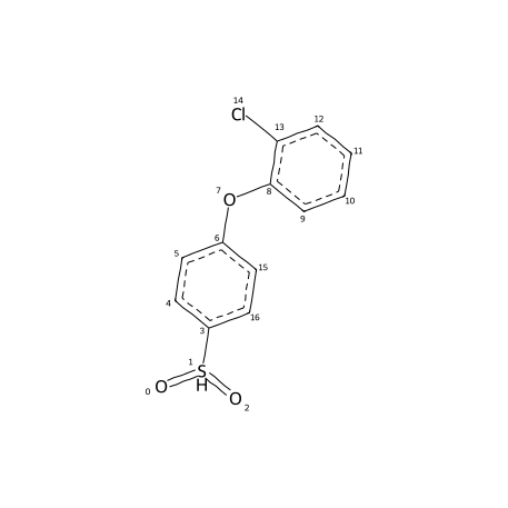 O=[SH](=O)c1ccc(Oc2ccccc2Cl)cc1